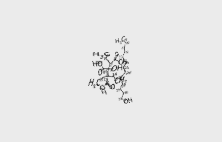 CCC(C(=O)O)C(O)(C(=O)O)C(CC)(CC)C(=O)O.CCCCCCCCCCCCCO